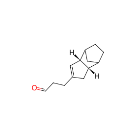 O=CCCC1=C[C@@H]2C3CCC(C3)[C@@H]2C1